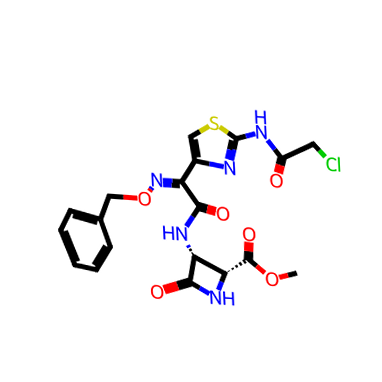 COC(=O)[C@@H]1NC(=O)[C@@H]1NC(=O)C(=NOCc1ccccc1)c1csc(NC(=O)CCl)n1